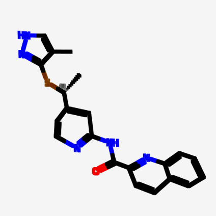 Cc1c[nH]nc1S[C@H](C)c1ccnc(NC(=O)c2ccc3ccccc3n2)c1